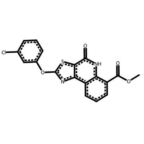 COC(=O)c1cccc2c1[nH]c(=O)c1sc(Oc3cccc(Cl)c3)nc12